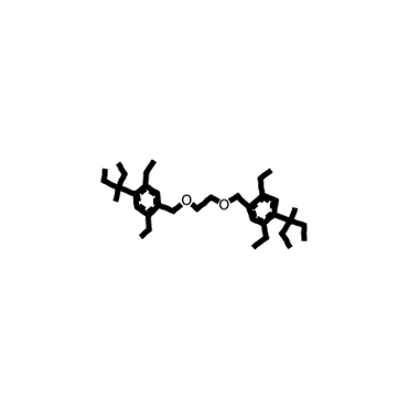 CCc1cc(C(C)(CC)CC)c(CC)cc1COCCOCc1cc(CC)c(C(C)(CC)CC)cc1CC